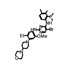 CCc1cc(Nc2ncc(Br)c(Nc3ccc(C)c(C)c3P(C)C)n2)c(OC)cc1N1CCC(N2CCOCC2)CC1